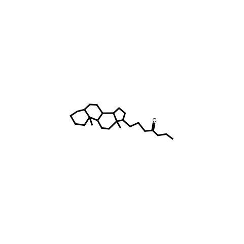 CCCC(=O)CCCC1CCC2C3CCC4CCCCC4(C)C3CCC12C